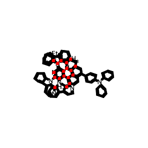 C/C=C/c1cc(-c2ccc(N(c3ccccc3)c3ccccc3)cc2)ccc1N(c1c(-n2c3ccccc3c3ccncc32)nc(-n2c3ccccc3c3ccncc32)c(-n2c3ccccc3c3ccncc32)c1-c1ccccc1-c1cccc(C)n1)C(C)/C(=C/CC)N(c1ccccc1)c1ccccc1